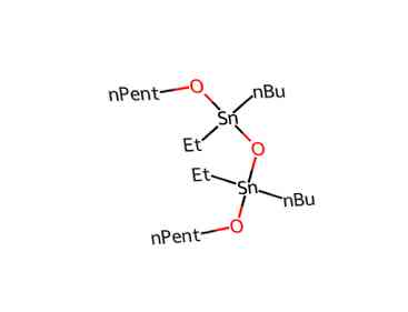 CCCCC[O][Sn]([CH2]C)([CH2]CCC)[O][Sn]([CH2]C)([CH2]CCC)[O]CCCCC